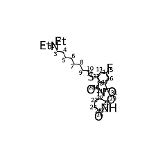 CCN(CC)CCCCCCCCSc1cc(F)cc2c1C(=O)N(C1CCC(=O)NC1=O)C2=O